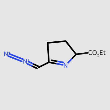 CCOC(=O)C1CCC(C=[N+]=[N-])=N1